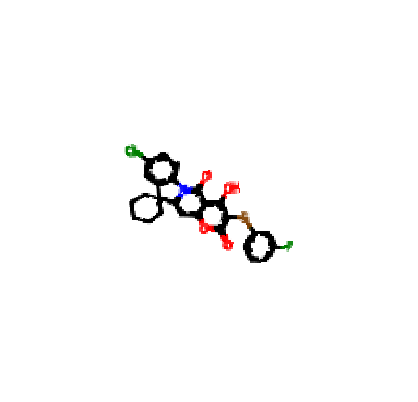 O=c1oc2cc3n(c(=O)c2c(O)c1Sc1cccc(F)c1)-c1ccc(Cl)cc1C31CCCCC1